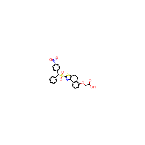 O=C(O)COc1cccc2c1CCc1sc(S(=O)(=O)C(c3ccccc3)c3ccc([N+](=O)[O-])cc3)nc1-2